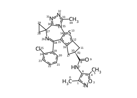 Cc1noc(C)c1NC(=O)[C@@H]1Cc2sc3c(c2C1)C(c1ccccc1Cl)=NC1(CC1)c1nnc(C)n1-3